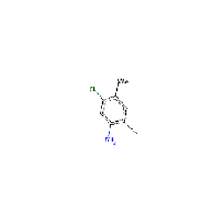 CSc1cc(C)c(N)cc1Cl